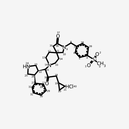 CS(=O)(=O)c1ccc(CN2CC3(CCN(C(C(=O)CC4CC4)[C@@H]4CNC[C@@H]4c4ccccc4)CC3)CC2=O)cc1.Cl